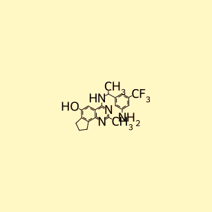 Cc1nc(NC(C)c2cc(N)cc(C(F)(F)F)c2)c2cc(O)c3c(c2n1)CCC3